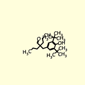 CCCC(C=O)(CCC)Cc1cc(C(C)(C)C)c(O)c(C(C)(C)C)c1